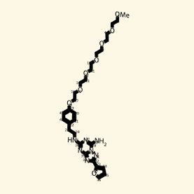 COCCOCCOCCOCCOCCOCCOc1ccc(CCNc2nc(N)n3nc(-c4ccco4)nc3n2)cc1